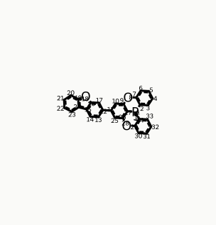 S=P12c3ccccc3Oc3cc(-c4ccc5c(c4)oc4ccccc45)cc(c31)Oc1ccccc12